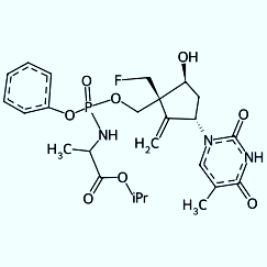 C=C1[C@@H](n2cc(C)c(=O)[nH]c2=O)C[C@H](O)[C@@]1(CF)COP(=O)(NC(C)C(=O)OC(C)C)Oc1ccccc1